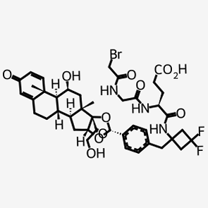 C[C@]12C=CC(=O)C=C1CC[C@@H]1[C@@H]2[C@@H](O)C[C@@]2(C)[C@H]1C[C@H]1O[C@@H](c3ccc(CC4(NC(=O)[C@H](CCC(=O)O)NC(=O)CNC(=O)CBr)CC(F)(F)C4)cc3)O[C@]12C(=O)CO